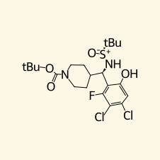 CC(C)(C)OC(=O)N1CCC([C@@H](N[S@@+]([O-])C(C)(C)C)c2c(O)cc(Cl)c(Cl)c2F)CC1